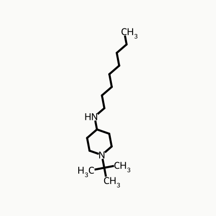 CCCCCCCCNC1CCN(C(C)(C)C)CC1